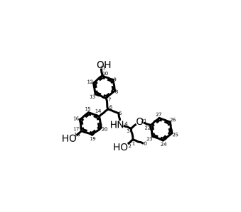 CC(O)C(NCC(c1ccc(O)cc1)c1ccc(O)cc1)Oc1ccccc1